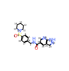 O=C(NCc1ccc([S+]([O-])N2CCCCC2)cc1)c1cnc2[nH]ncc2c1